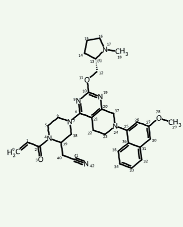 C=CC(=O)N1CCN(c2nc(OC[C@@H]3CCCN3C)nc3c2CCN(c2cc(OC)cc4ccccc24)C3)CC1CC#N